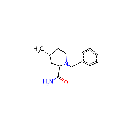 C[C@@H]1CCN(Cc2ccccc2)[C@@H](C(N)=O)C1